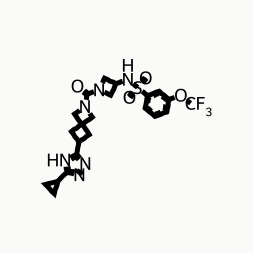 O=C(N1CC(NS(=O)(=O)c2cccc(OC(F)(F)F)c2)C1)N1CC2(CC(c3nnc(C4CC4)[nH]3)C2)C1